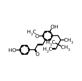 C=CC(C)(C)C(C)Cc1cc(/C=C/C(=O)c2ccc(O)cc2)c(OC)cc1O